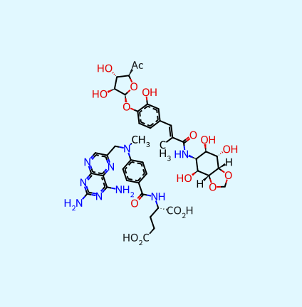 CC(=O)[C@H]1O[C@@H](Oc2ccc(/C=C(\C)C(=O)N[C@H]3[C@@H](O)[C@H](O)[C@@H]4OCO[C@@H]4[C@H]3O)cc2O)[C@@H](O)[C@@H]1O.CN(Cc1cnc2nc(N)nc(N)c2n1)c1ccc(C(=O)N[C@@H](CCC(=O)O)C(=O)O)cc1